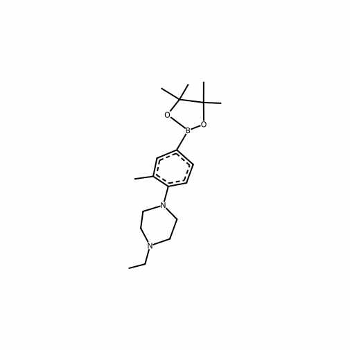 CCN1CCN(c2ccc(B3OC(C)(C)C(C)(C)O3)cc2C)CC1